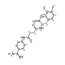 N=C(N)c1ccc(NC(=O)CCC(=O)NC(Cc2ccc(F)c(F)c2)C(=O)O)cc1